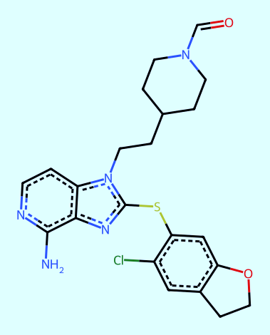 Nc1nccc2c1nc(Sc1cc3c(cc1Cl)CCO3)n2CCC1CCN(C=O)CC1